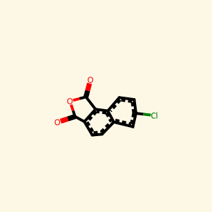 O=C1OC(=O)c2c1ccc1cc(Cl)ccc21